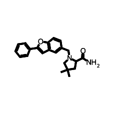 CC1(C)CC(C(N)=O)N(Cc2ccc3oc(-c4ccccc4)cc3c2)C1